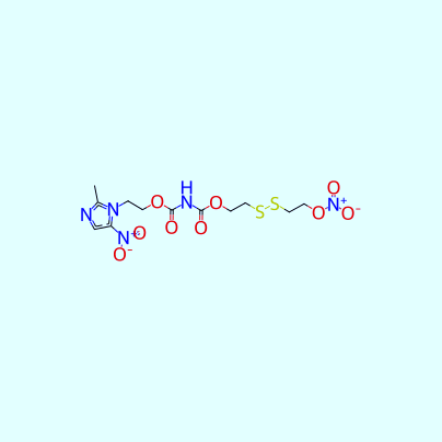 Cc1ncc([N+](=O)[O-])n1CCOC(=O)NC(=O)OCCSSCCO[N+](=O)[O-]